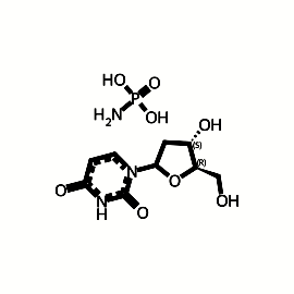 NP(=O)(O)O.O=c1ccn(C2C[C@H](O)[C@@H](CO)O2)c(=O)[nH]1